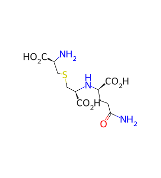 NC(=O)CC[C@@H](N[C@H](CSC[C@H](N)C(=O)O)C(=O)O)C(=O)O